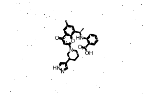 Cc1cc([C@@H](C)Nc2ccccc2C(=O)O)c2oc(N3CCCC(c4cn[nH]c4)C3)cc(=O)c2c1